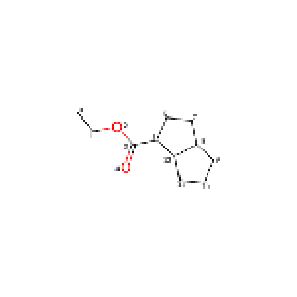 CCOC(=O)C1CCC2CCCC21